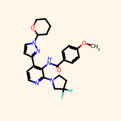 COc1ccc(C(=O)Nc2c(-c3ccn(C4CCCCO4)n3)ccnc2N2CCC(F)(F)C2)cc1